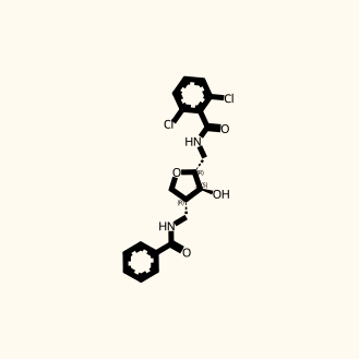 O=C(NC[C@@H]1CO[C@H](CNC(=O)c2c(Cl)cccc2Cl)[C@H]1O)c1ccccc1